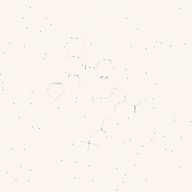 COC(=O)c1sc(-c2cccc(N(C(=O)Nc3ccsc3)C3CCCCC3)c2)c(Br)c1OCC(=O)OC(C)(C)C